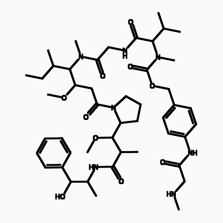 CCC(C)C(C(CC(=O)N1CCCC1C(OC)C(C)C(=O)NC(C)C(O)c1ccccc1)OC)N(C)C(=O)CNC(=O)C(C(C)C)N(C)C(=O)OCc1ccc(NC(=O)CNC)cc1